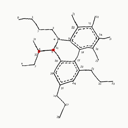 CCCCP(CCCC)c1c(C)c(C)c(C)c(C)c1-c1c(CCC)cc(CCC)cc1CCC